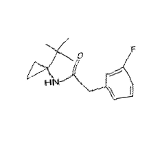 CC(C)(C)C1(NC(=O)Cc2cccc(F)c2)CC1